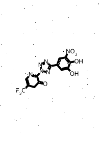 O=C1CC(C(F)(F)F)=CN=C1n1nnc(-c2cc(O)c(O)c([N+](=O)[O-])c2)n1